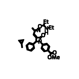 CC1CC1.CCNC(CC)ON=C(C)C=C1C(=O)N(c2ccc(C(=O)OC)cc2)C1c1ccccc1